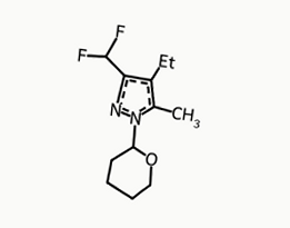 CCc1c(C(F)F)nn(C2CCCCO2)c1C